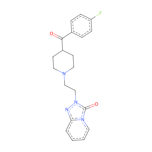 O=C(c1ccc(F)cc1)C1CCN(CCn2nc3ccccn3c2=O)CC1